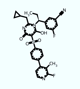 CC[C@@H](c1cc(F)cc(C#N)c1)n1c(CC2CC2)nc(=O)c(S(=O)(=O)c2ccc(-c3ccnc(F)c3C)cc2)c1O